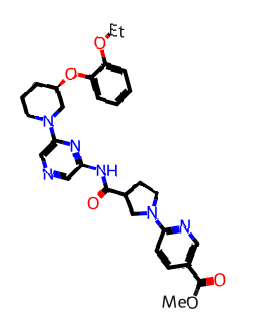 CCOc1ccccc1O[C@@H]1CCCN(c2cncc(NC(=O)C3CCN(c4ccc(C(=O)OC)cn4)C3)n2)C1